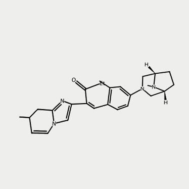 CCC(=O)/C(=C\c1ccc(N2C[C@H]3CC[C@@H](C2)N3C)cc1C)c1cn2c(n1)CC(C)C=C2